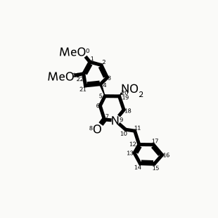 COc1ccc([C@@H]2CC(=O)N(CCc3ccccc3)C[C@H]2[N+](=O)[O-])cc1OC